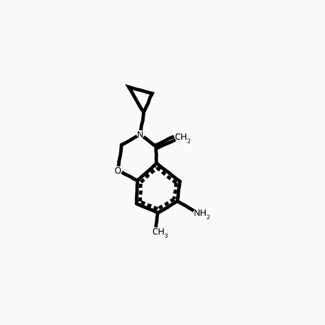 C=C1c2cc(N)c(C)cc2OCN1C1CC1